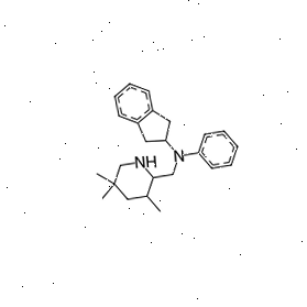 CC1CC(C)(C)CNC1CN(c1ccccc1)C1Cc2ccccc2C1